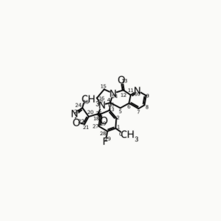 Cc1cc([C@]23Cc4cccnc4C(=O)N2CCN3C(=O)c2conc2C)ccc1F